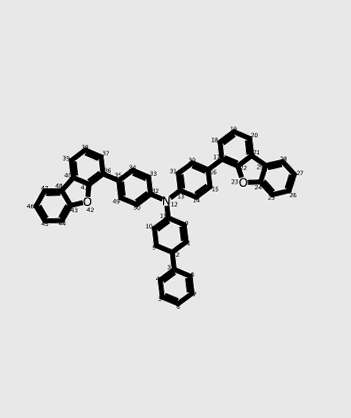 C1=CC(c2ccccc2)CC=C1N(c1ccc(-c2cccc3c2oc2ccccc23)cc1)c1ccc(-c2cccc3c2oc2ccccc23)cc1